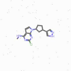 CNc1nc(Cl)nc2c1ccn2C1CCC(c2cn[nH]c2)C1